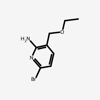 CCOCc1ccc(Br)nc1N